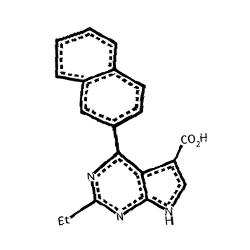 CCc1nc(-c2ccc3ccccc3c2)c2c(C(=O)O)c[nH]c2n1